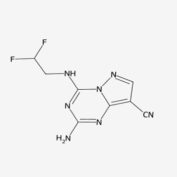 N#Cc1cnn2c(NCC(F)F)nc(N)nc12